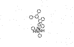 c1ccc(-c2cc(-c3ccccc3)cc(-c3cc4oc5c(C6=NC(c7ccccc7)NC(c7ccccc7)N6)cccc5c4c4ccccc34)c2)cc1